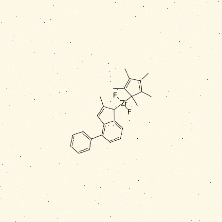 CC1=Cc2c(-c3ccccc3)cccc2[CH]1[Zr]([F])([F])[C]1(C)C(C)=C(C)C(C)=C1C